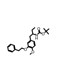 CCC(Cc1ccc(OC)c(OCCc2ccccc2)c1)NC(=O)OC(C)(C)C